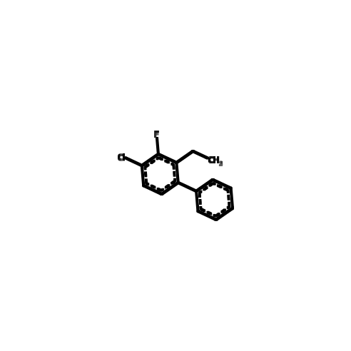 CCc1c(-c2ccccc2)ccc(Cl)c1F